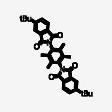 Cc1c(C)c(N2C(=O)c3ccc(C(C)(C)C)cc3C2=O)c(C)c(C)c1N1C(=O)c2ccc(C(C)(C)C)cc2C1=O